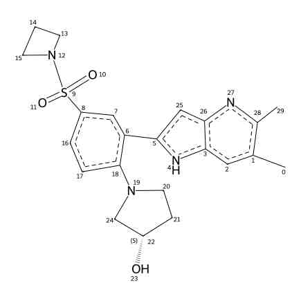 Cc1cc2[nH]c(-c3cc(S(=O)(=O)N4CCC4)ccc3N3CC[C@H](O)C3)cc2nc1C